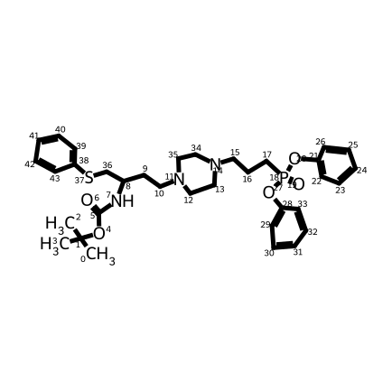 CC(C)(C)OC(=O)NC(CCN1CCN(CCCP(=O)(Oc2ccccc2)Oc2ccccc2)CC1)CSc1ccccc1